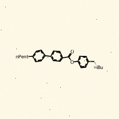 CCCCCc1ccc(-c2ccc(C(=O)Oc3ccc(C[C@@H](C)CC)cc3)cc2)cc1